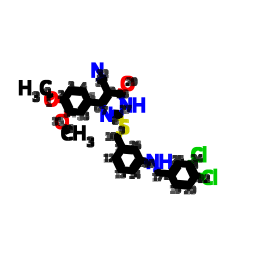 COc1ccc(-c2nc(SCc3cccc(NCc4ccc(Cl)c(Cl)c4)c3)[nH]c(=O)c2C#N)cc1OC